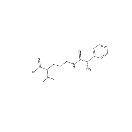 CN(C)C(CCCNC(=O)C(O)c1ccccc1)C(=O)O